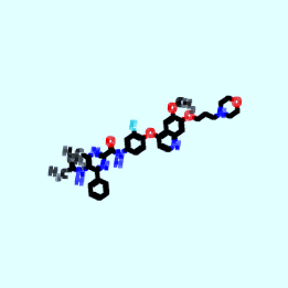 C=C(C)Nc1c(C)nc(C(=O)Nc2ccc(Oc3ccnc4cc(OCCCN5CCOCC5)c(OC)cc34)c(F)c2)nc1-c1ccccc1